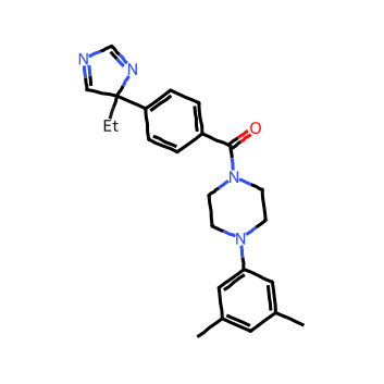 CCC1(c2ccc(C(=O)N3CCN(c4cc(C)cc(C)c4)CC3)cc2)C=NC=N1